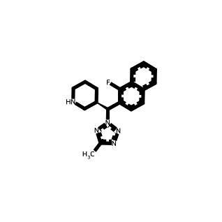 Cc1nnn(C(c2ccc3ccccc3c2F)[C@@H]2CCCNC2)n1